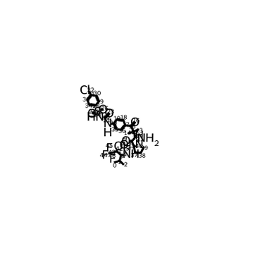 CC(C)C(NC(=O)[C@@]1(C(=O)[C@@H](N)C(C)(C)C(=O)c2ccc(NC(=O)NS(=O)(=O)c3ccc(Cl)cc3)cc2)CCCN1)C(O)C(F)(F)F